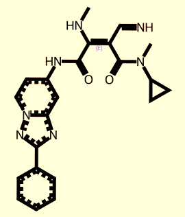 CN/C(C(=O)Nc1ccn2nc(-c3ccccc3)nc2c1)=C(\C=N)C(=O)N(C)C1CC1